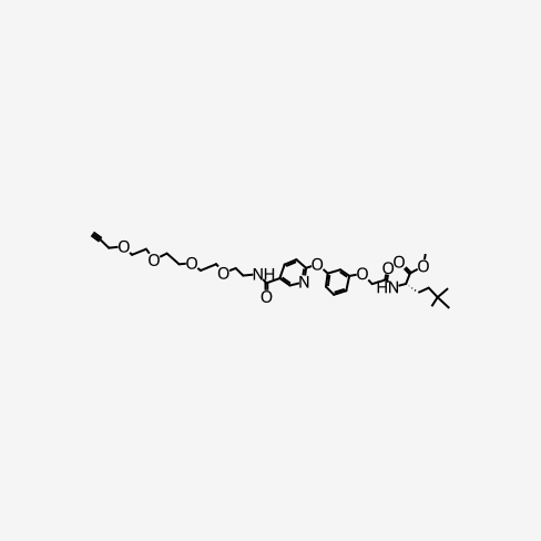 C#CCOCCOCCOCCOCCNC(=O)c1ccc(Oc2cccc(OCC(=O)N[C@@H](CCC(C)(C)C)C(=O)OC)c2)nc1